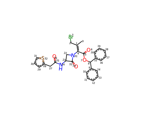 C/C(CBr)=C(\C(=O)OC(c1ccccc1)c1ccccc1)N1CC(NC(=O)Cc2cccs2)C1=O